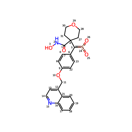 O=C(NO)C1(C(c2ccc(OCc3ccnc4ccccc34)cc2)=S(=O)=O)CCOCC1